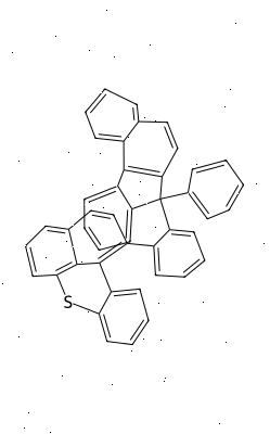 c1ccc(C2(c3ccccc3-c3ccc4cccc5c4c3-c3ccccc3S5)c3ccccc3-c3c2ccc2ccccc32)cc1